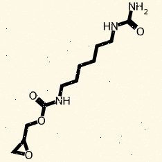 NC(=O)NCCCCCCNC(=O)OCC1CO1